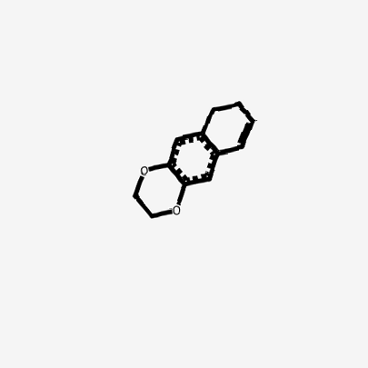 [C]1=Cc2cc3c(cc2CC1)OCCO3